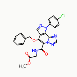 COC(=O)CNC(=O)c1c(OCc2ccccc2)c2cnn(-c3ccc(Cl)cc3)c2c2ncnn12